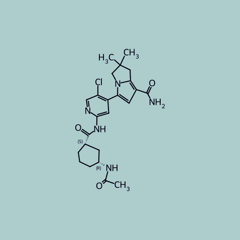 CC(=O)N[C@@H]1CCC[C@H](C(=O)Nc2cc(-c3cc(C(N)=O)c4n3CC(C)(C)C4)c(Cl)cn2)C1